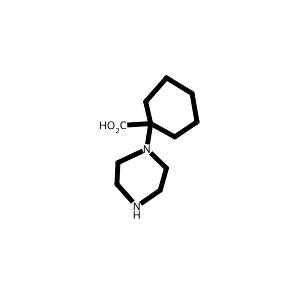 O=C(O)C1(N2CCNCC2)CCCCC1